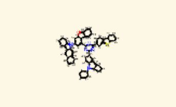 c1ccc(-n2c3ccccc3c3cc(-c4nc(-c5ccc6c(c5)sc5ccccc56)nc(-c5cc(-n6c7ccccc7c7cc8ccccc8cc76)cc6oc7ccccc7c56)n4)ccc32)cc1